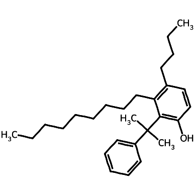 CCCCCCCCCc1c(CCCC)ccc(O)c1C(C)(C)c1ccccc1